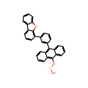 OBOc1c2ccccc2c(-c2cccc(-c3cccc4c3oc3ccccc34)c2)c2ccccc12